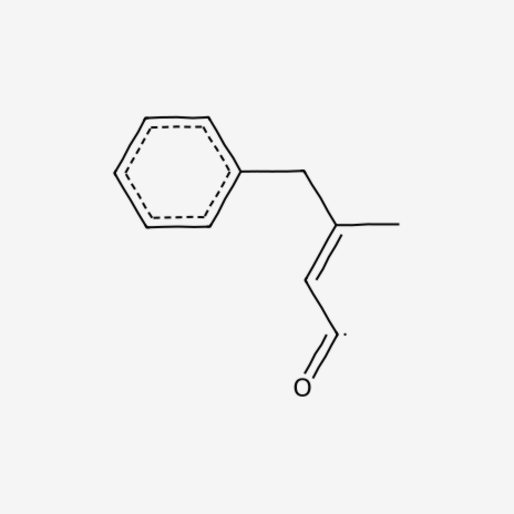 CC(=C[C]=O)Cc1ccccc1